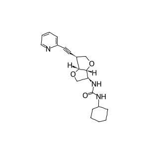 O=C(NC1CCCCC1)N[C@H]1CO[C@H]2[C@@H]1OC[C@@H]2C#Cc1ccccn1